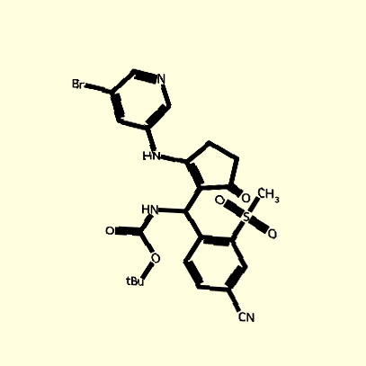 CC(C)(C)OC(=O)NC(C1=C(Nc2cncc(Br)c2)CCC1=O)c1ccc(C#N)cc1S(C)(=O)=O